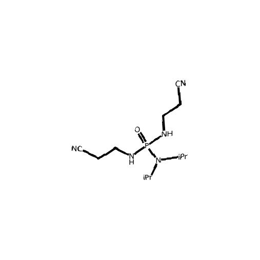 CC(C)N(C(C)C)P(=O)(NCCC#N)NCCC#N